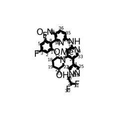 COc1cc(F)cc(F)c1-c1nc(Nc2cc(N3CCC[C@H](O)C3)c(-c3cnn(CC(F)F)c3)cn2)ccc1[N+](=O)[O-]